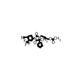 CC(=O)OCC#CCN1C(=O)N(c2ccc(C#N)c(C(F)(F)F)c2)C(=O)C1(C)c1cc[c]cc1